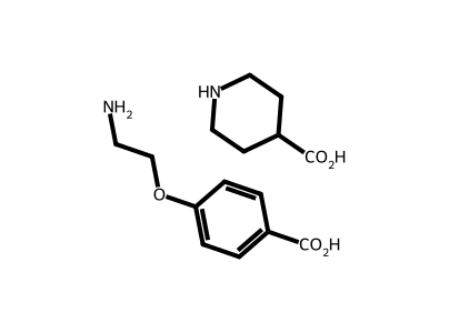 NCCOc1ccc(C(=O)O)cc1.O=C(O)C1CCNCC1